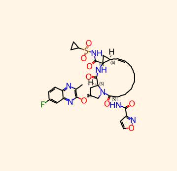 Cc1nc2ccc(F)cc2nc1O[C@@H]1C[C@H]2C(=O)N[C@]3(C(=O)NS(=O)(=O)C4CC4)C[C@H]3C=CCCCCC[C@H](NC(=O)c3ccon3)C(=O)N2C1